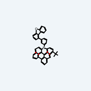 CC(C)(C)c1ccc(N(c2cccc(-c3cccc4oc5ccccc5c34)c2)c2ccccc2-c2cccc3cccc(-c4ccccc4)c23)cc1